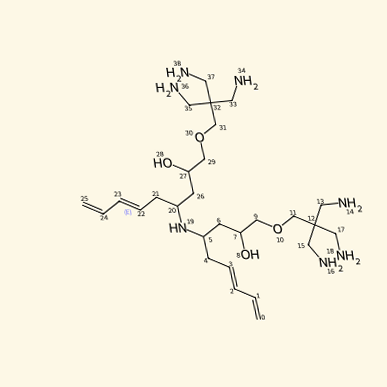 C=CC=CCC(CC(O)COCC(CN)(CN)CN)NC(C/C=C/C=C)CC(O)COCC(CN)(CN)CN